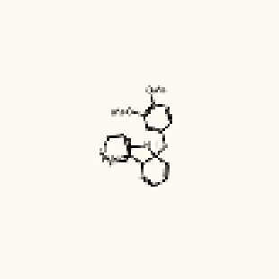 COc1ccc(CC2(NC3CCOCC3)C=CC=CC2C(N)=O)cc1OC